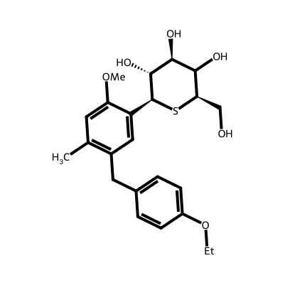 CCOc1ccc(Cc2cc([C@@H]3S[C@H](CO)C(O)[C@H](O)[C@H]3O)c(OC)cc2C)cc1